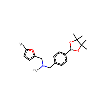 CC1(C)OB(c2ccc(CN(Cc3ccc(C(F)(F)F)o3)C(=O)O)cc2)OC1(C)C